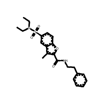 CCN(CC)S(=O)(=O)c1ccc2oc(C(=O)NCCc3ccccc3)c(C)c2c1